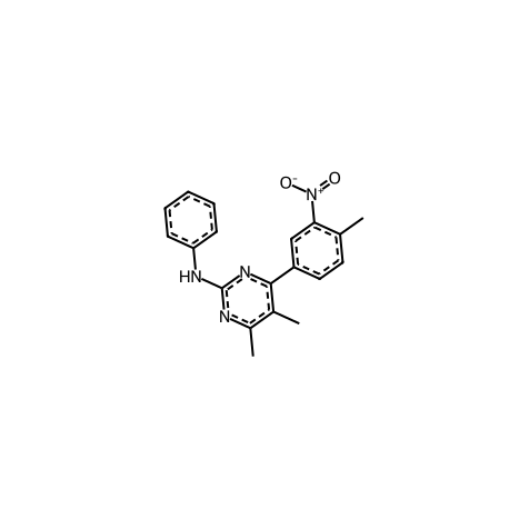 Cc1ccc(-c2nc(Nc3ccccc3)nc(C)c2C)cc1[N+](=O)[O-]